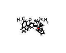 CCc1nc(N2CC3CCC(C2)N3CC2CC2)c2cnc(-c3cc(C)cc4cccc(F)c34)c(F)c2n1